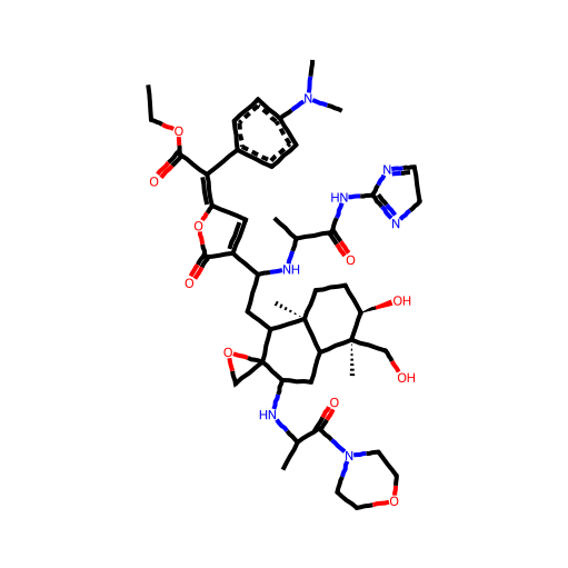 CCOC(=O)/C(=C1/C=C(C(CC2C3(CO3)C(NC(C)C(=O)N3CCOCC3)CC3[C@]2(C)CC[C@@H](O)[C@@]3(C)CO)NC(C)C(=O)NC2=NCC=N2)C(=O)O1)c1ccc(N(C)C)cc1